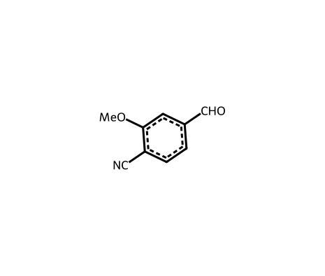 COc1cc(C=O)ccc1C#N